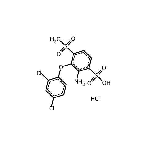 CS(=O)(=O)c1ccc(S(=O)(=O)O)c(N)c1Oc1ccc(Cl)cc1Cl.Cl